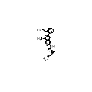 C=NC[C@H]1C[C@@H]1C(=O)Nc1cc2cc(-c3cnccc3CCO)nc(N)c2cn1